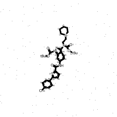 CC(C)(C)OC(=O)N(CCN1CCCCC1)c1nn(C(=O)OC(C)(C)C)c2cc(NC(=O)c3ccc(-c4ccc(Cl)cc4)s3)ccc12